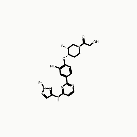 CCn1ncc(Nc2ccnc(-c3ccc(O[C@H]4CCN(C(=O)CO)C[C@H]4F)c(C#N)c3)n2)n1